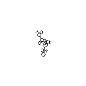 C=C(C)C(=O)OCCOC(=O)/C(=C/C=C1\Oc2ccccc2N1C)S(=O)(=O)CC